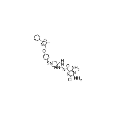 Cc1oc(-c2ccccc2)nc1COc1ccc(SN2CCC3(CC2)CN/C(=N\C(=O)c2nc(Cl)c(N)nc2N)N3)cc1